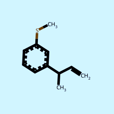 C=C[C](C)c1cccc(SC)c1